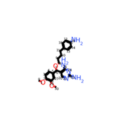 COc1ccc(C(OCCCCc2ccc(N)cc2)c2cnc(N)nc2N)cc1OC